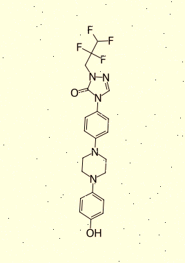 O=c1n(-c2ccc(N3CCN(c4ccc(O)cc4)CC3)cc2)cnn1CC(F)(F)C(F)F